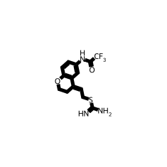 N=C(N)SC/C=C1\CCOc2ccc(NC(=O)C(F)(F)F)cc21